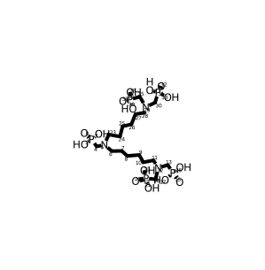 O=P(O)(O)CN(CCCCCCN(CP(=O)(O)O)CP(=O)(O)O)CCCCCCN(CP(=O)(O)O)CP(=O)(O)O